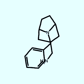 NCC1CC2CCC(C1)N2Cc1ccccc1